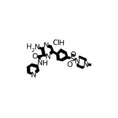 CN1CCN(S(=O)(=O)c2ccc(-c3cnc(N)c(C(=O)Nc4cccnc4)n3)cc2)CC1.Cl